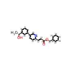 C[C@@H](O)c1cccc(-c2ccc(/C=C/C(=O)OCc3ccccc3)nc2)c1